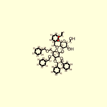 C=CCO[C@H]1O[C@H](CO)[C@@H](O)[C@H](O[C@@H]2O[C@H](COCc3ccccc3)[C@@H](OCc3ccccc3)[C@H](OCc3ccccc3)[C@H]2OCc2ccccc2)[C@H]1OCc1ccccc1